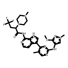 COc1nn(C)cc1Nc1ncc(C)c(-c2c[nH]c3c(NC(=O)C(CC(F)(F)F)N4CCN(C)CC4)nccc23)n1